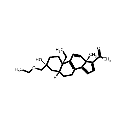 CCOC[C@@]1(O)CC[C@]2(CC)C3=C(CC[C@@H]2C1)C1=CC=C(C(C)=O)[C@@]1(C)C=C3